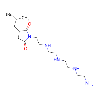 CC(CC1CC(=O)N(CCNCCNCCNCCN)C1=O)C(C)(C)C